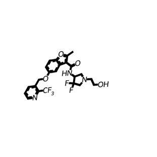 Cc1oc2ccc(OCc3cccnc3C(F)(F)F)cc2c1C(=O)NC1CN(CCO)CC1(F)F